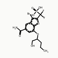 CCCC(CO)Oc1cc(C(N)=O)cc2c(Br)c(C(F)(F)P(=O)(O)O)sc12